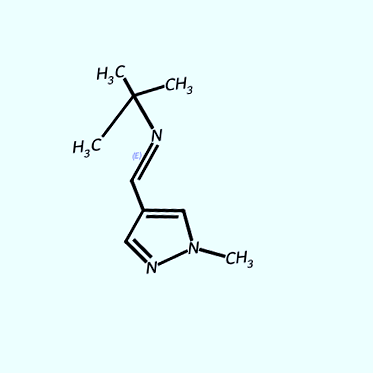 Cn1cc(/C=N/C(C)(C)C)cn1